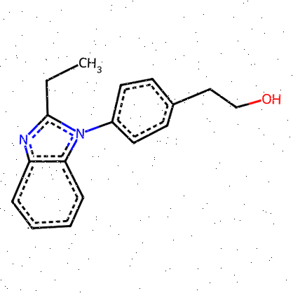 CCc1nc2c[c]ccc2n1-c1ccc(CCO)cc1